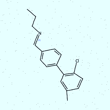 CCC/N=C/c1ccc(-c2cc(C)ccc2Cl)cc1